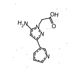 Nc1cc(-c2cccnc2)nn1CC(=O)O